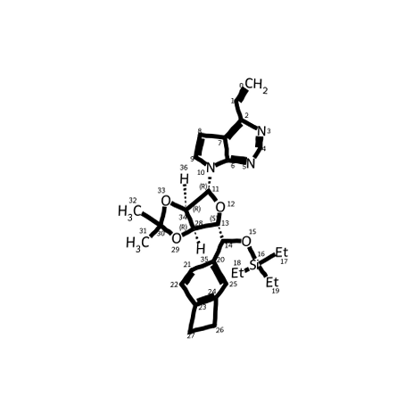 C=Cc1ncnc2c1ccn2[C@@H]1O[C@H](C(O[Si](CC)(CC)CC)c2ccc3c(c2)CC3)[C@H]2OC(C)(C)O[C@H]21